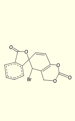 O=C1OCC2=C(C=CC3(OC(=O)c4ccccc43)C2Br)O1